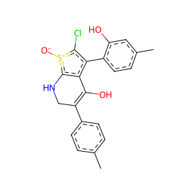 Cc1ccc(C2=C(O)c3c(-c4ccc(C)cc4O)c(Cl)[s+]([O-])c3NC2)cc1